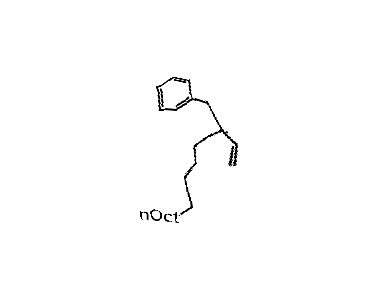 C=C[C](CCCCCCCCCCCC)Cc1ccccc1